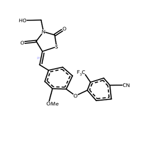 COc1cc(/C=C2\SC(=O)N(CO)C2=O)ccc1Oc1ccc(C#N)cc1C(F)(F)F